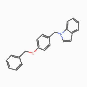 c1ccc(COc2ccc(Cn3ccc4ccccc43)cc2)cc1